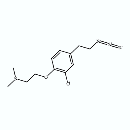 CN(C)CCOc1ccc(CCN=[N+]=[N-])cc1Cl